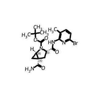 Cc1ccc(Br)nc1NC(=O)[C@@H]1C[C@@]2(C(N)=O)C[C@H]2N1C(=O)OC(C)(C)C